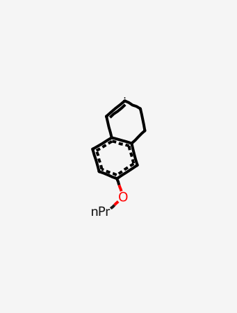 CCCOc1ccc2c(c1)CC[C]=C2